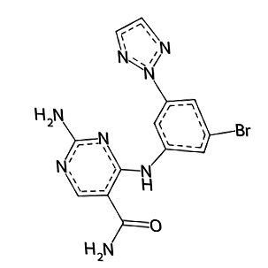 NC(=O)c1cnc(N)nc1Nc1cc(Br)cc(-n2nccn2)c1